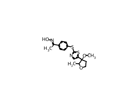 COC1(c2cnc(Sc3ccc(/C(C)=N/O)cc3)s2)CCOC1C